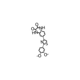 COc1ccc(-c2nc(-c3ccc4[nH]c(=O)c(=O)[nH]c4c3)cs2)cc1OC